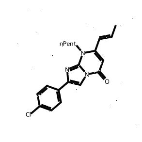 C/C=C/c1cc(=O)n2cc(-c3ccc(Cl)cc3)nc2n1CCCCC